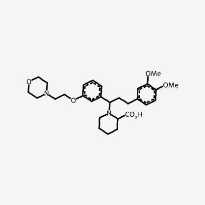 COc1ccc(CCC(c2cccc(OCCN3CCOCC3)c2)N2CCCCC2C(=O)O)cc1OC